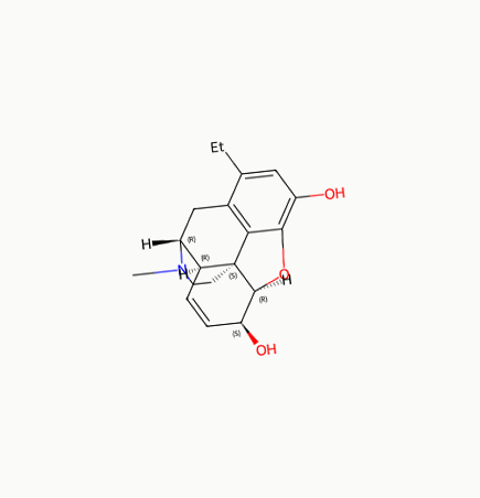 CCc1cc(O)c2c3c1C[C@@H]1[C@@H]4C=C[C@H](O)[C@H](O2)[C@]34CCN1C